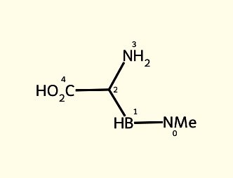 CNBC(N)C(=O)O